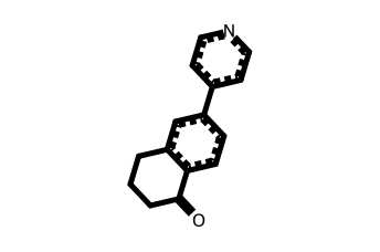 O=C1CCCc2cc(-c3ccncc3)ccc21